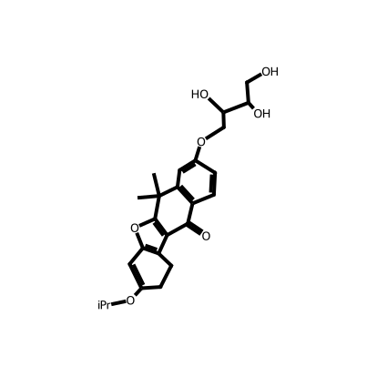 CC(C)OC1=Cc2oc3c(c2CC1)C(=O)c1ccc(OCC(O)C(O)CO)cc1C3(C)C